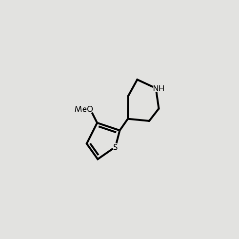 COc1ccsc1C1CCNCC1